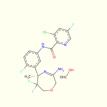 C[C@]1(c2cc(NC(=O)c3ncc(F)cc3Cl)ccc2F)N=C(N)COCC1(F)F.O=CO